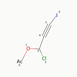 CC(=O)OC(Cl)C#CI